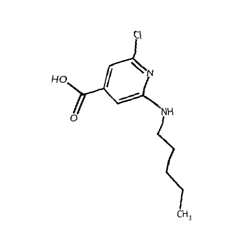 CCCCCNc1cc(C(=O)O)cc(Cl)n1